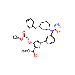 COC(=O)c1sc(-c2cccc(N(C(N)=O)C3CCCC(Cc4ccccc4)C3)c2)c(C)c1OCC(=O)OC(C)(C)C